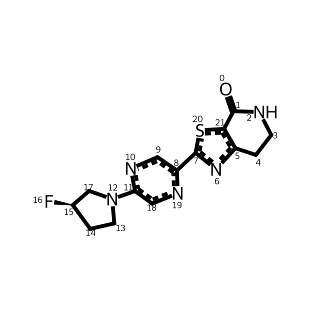 O=C1NCCc2nc(-c3cnc(N4CC[C@@H](F)C4)cn3)sc21